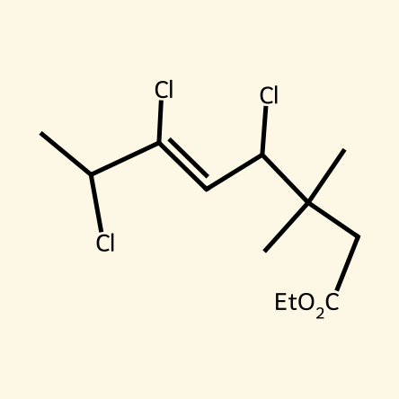 CCOC(=O)CC(C)(C)C(Cl)/C=C(\Cl)C(C)Cl